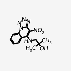 CC(C)(O)CNc1c([N+](=O)[O-])c2nnnn2c2ccccc12